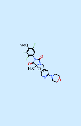 COc1c(F)cc(N2C(=O)N(Cc3ccnc(N4CCOCC4)c3)C(C)(C)C2=O)c(F)c1F